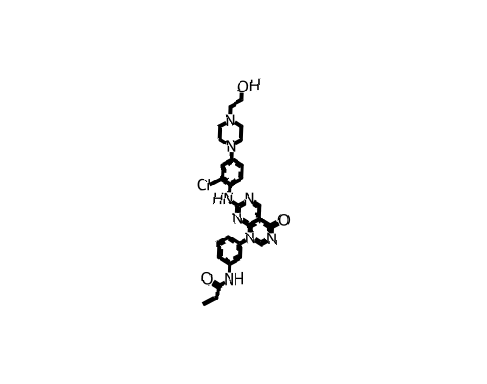 C=CC(=O)Nc1cccc(-n2cnc(=O)c3cnc(Nc4ccc(N5CCN(CCO)CC5)cc4Cl)nc32)c1